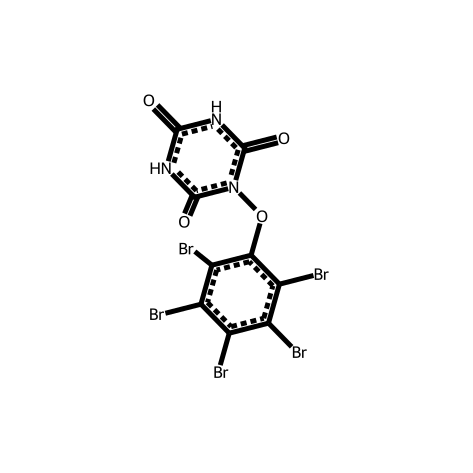 O=c1[nH]c(=O)n(Oc2c(Br)c(Br)c(Br)c(Br)c2Br)c(=O)[nH]1